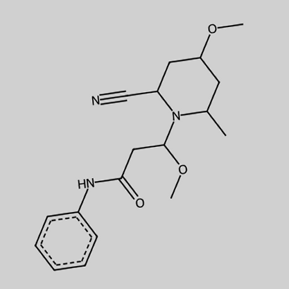 COC1CC(C)N(C(CC(=O)Nc2ccccc2)OC)C(C#N)C1